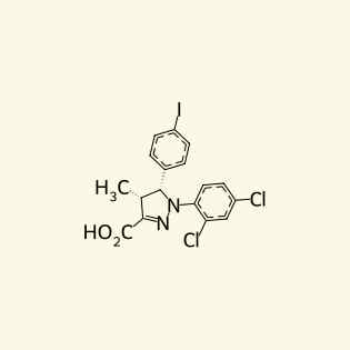 C[C@H]1C(C(=O)O)=NN(c2ccc(Cl)cc2Cl)[C@H]1c1ccc(I)cc1